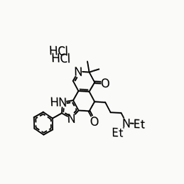 CCN(CC)CCCC1C(=O)c2nc(-c3ccccc3)[nH]c2C2=C1C(=O)C(C)(C)N=C2.Cl.Cl